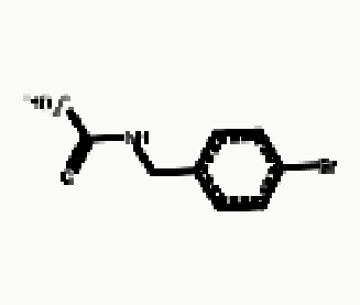 CCOC(=O)C(=O)NCc1ccc(Br)cc1